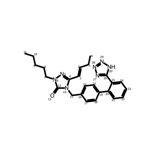 CCC=Cc1nn(CCCCC)c(=O)n1Cc1ccc(-c2ccccc2-c2nnn[nH]2)cc1